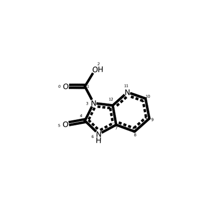 O=C(O)n1c(=O)[nH]c2cccnc21